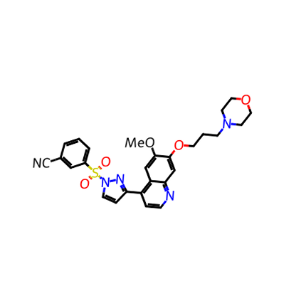 COc1cc2c(-c3ccn(S(=O)(=O)c4cccc(C#N)c4)n3)ccnc2cc1OCCCN1CCOCC1